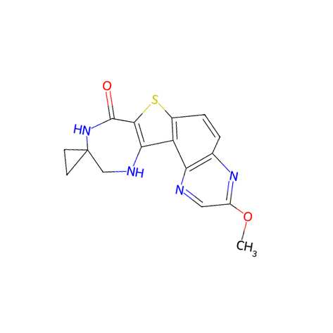 COc1cnc2c(ccc3sc4c(c32)NCC2(CC2)NC4=O)n1